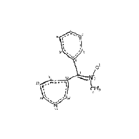 C[N+]([O-])=C(c1ccccc1)c1cccnc1